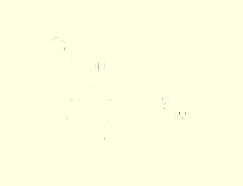 COC(=O)/C=C/CCCC[C@@H]1[C@@H](/C=C/C(O)COc2ccccc2)[C@H](OC2CCCCO2)C[C@@H]1OC1CCCCO1